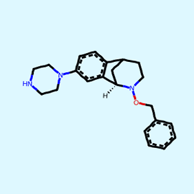 c1ccc(CON2CCC3C[C@@H]2c2cc(N4CCNCC4)ccc23)cc1